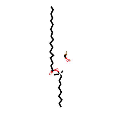 CCCCCCCCCCCCCCCCCC(=O)O[Si](C)(C)CCCCCCCCC.OC=S